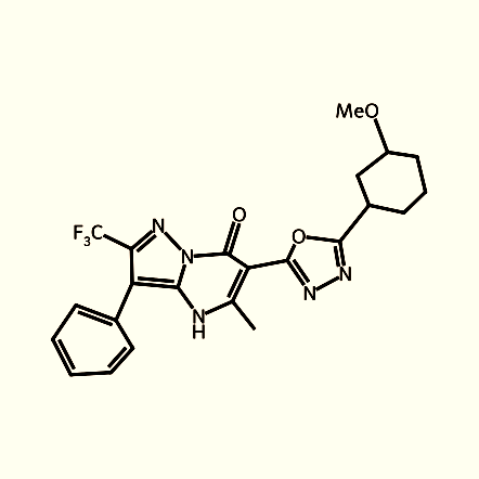 COC1CCCC(c2nnc(-c3c(C)[nH]c4c(-c5ccccc5)c(C(F)(F)F)nn4c3=O)o2)C1